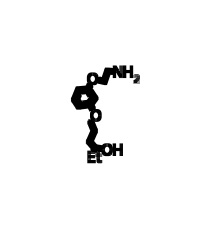 CCC(O)CCCOc1cccc(OCCN)c1